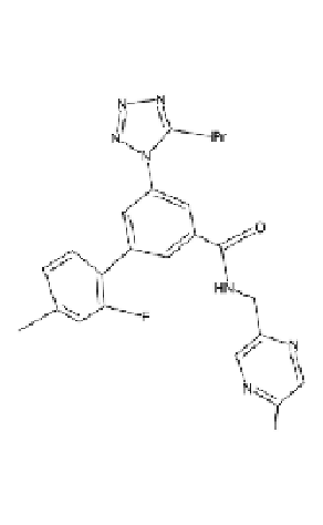 Cc1ccc(-c2cc(C(=O)NCc3cnc(C)cn3)cc(-n3nnnc3C(C)C)c2)c(F)c1